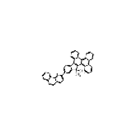 CC1(C)c2cc(-c3ccc4ccc5cccnc5c4n3)ccc2-c2c1c1c3ccccc3c3ccccc3c1c1ccccc21